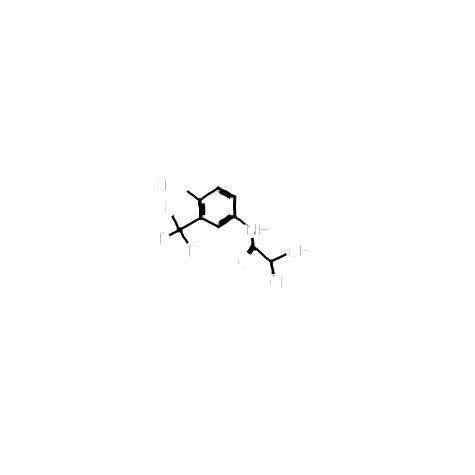 Cc1ccc(NC(=O)C(C)C)cc1C(F)(F)F